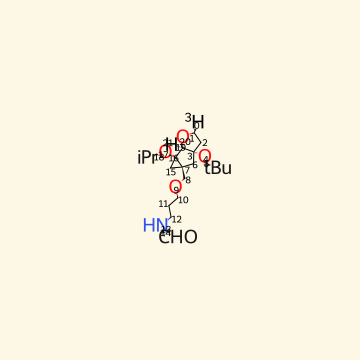 [3H][C@H]1C[C@@]2(OC(C)(C)C)C[C@]3(COCCCNC=O)C[C@]3(OC(C)C)[C@H]2O1